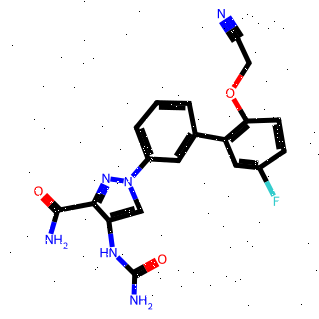 N#CCOc1ccc(F)cc1-c1cccc(-n2cc(NC(N)=O)c(C(N)=O)n2)c1